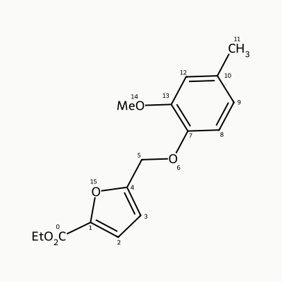 CCOC(=O)c1ccc(COc2ccc(C)cc2OC)o1